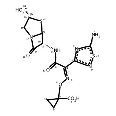 Nc1nc(/C(=N/OC2(C(=O)O)CC2)C(=O)N[C@@H]2C(=O)N3C[C@H](C(=O)O)SC23)ns1